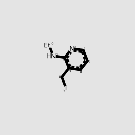 CCNc1ncccc1CI